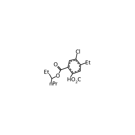 CCCC(CC)OC(=O)c1cc(Cl)c(CC)cc1C(=O)O